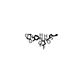 C#Cc1ccc(C(=O)NC(CC(F)F)C(=O)Nc2ccc(N3CCOCC3=O)c(C)c2)s1